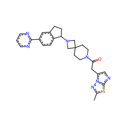 Cc1nn2c(CC(=O)N3CCC4(CC3)CN(C3CCc5cc(-c6ncccn6)ccc53)C4)cnc2s1